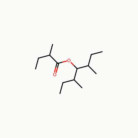 CCC(C)C(=O)OC(C(C)CC)C(C)CC